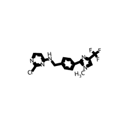 Cn1cc(C(F)(F)F)nc1-c1ccc(CNc2ccnc(Cl)n2)cc1